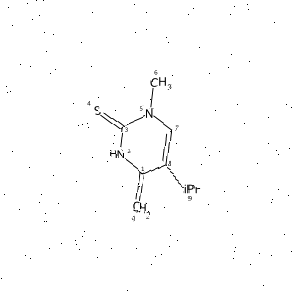 C=C1NC(=S)N(C)C=C1C(C)C